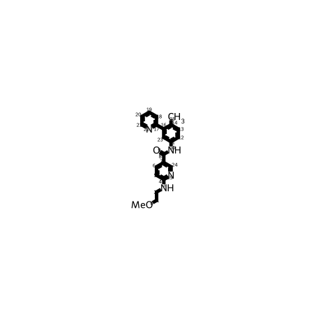 COCCNc1ccc(C(=O)Nc2ccc(C)c(-c3ccccn3)c2)cn1